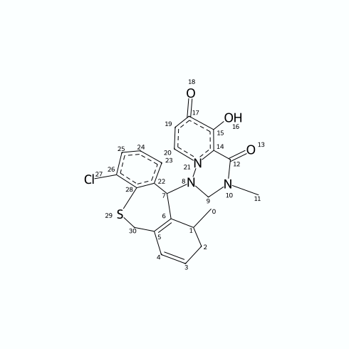 CC1CC=CC2=C1C(N1CN(C)C(=O)c3c(O)c(=O)ccn31)c1cccc(Cl)c1SC2